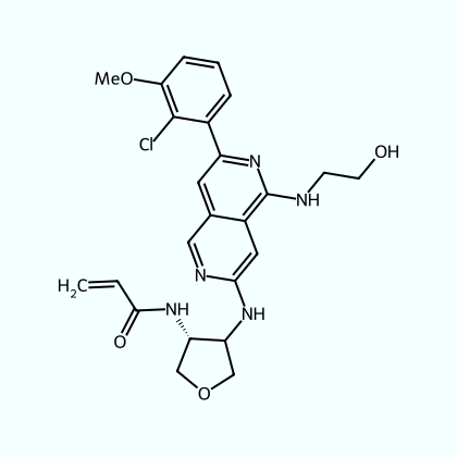 C=CC(=O)N[C@H]1COCC1Nc1cc2c(NCCO)nc(-c3cccc(OC)c3Cl)cc2cn1